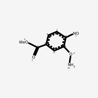 COC(=O)c1ccc(N=O)c(ON)c1